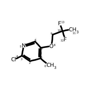 Cc1cc(Cl)ncc1OCC(C)(F)F